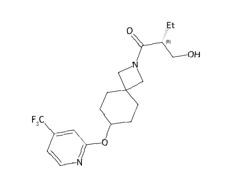 CC[C@H](CO)C(=O)N1CC2(CCC(Oc3cc(C(F)(F)F)ccn3)CC2)C1